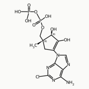 C[C@]1(COP(=O)(O)OP(=O)(O)O)CC(n2cnc3c(N)nc(Cl)nc32)=C(O)[C@@H]1O